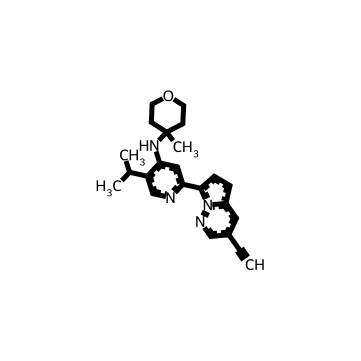 C#Cc1cnn2c(-c3cc(NC4(C)CCOCC4)c(C(C)C)cn3)ccc2c1